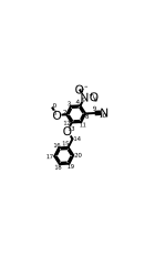 COc1cc([N+](=O)[O-])c(C#N)cc1OCc1ccccc1